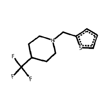 FC(F)(F)C1CCN(Cc2cccs2)CC1